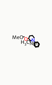 COCO[C@H]1CCCN(c2ccccc2)[C@@]1(C)[N+](=O)[O-]